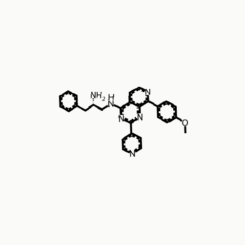 COc1ccc(-c2nccc3c(NC[C@@H](N)Cc4ccccc4)nc(-c4ccncc4)nc23)cc1